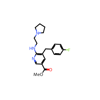 COC(=O)c1cnc(NCCN2CCCC2)c(Cc2ccc(F)cc2)c1